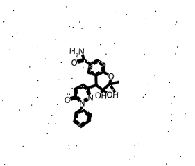 CC1(C)Oc2ccc(C(N)=O)cc2C(c2ccc(=O)n(-c3ccccc3)n2)C1(O)O